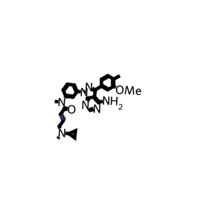 COc1cc(-c2nn(-c3cccc(N(C)C(=O)/C=C/CN(C)C4CC4)c3)c3ncnc(N)c23)ccc1C